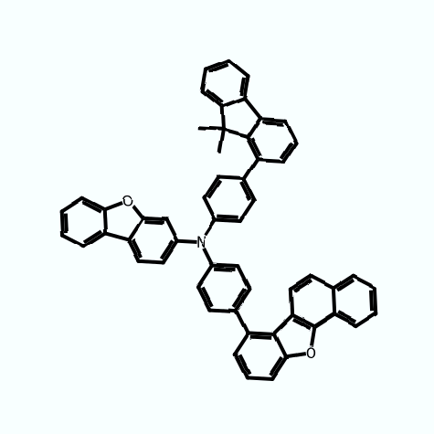 CC1(C)c2ccccc2-c2cccc(-c3ccc(N(c4ccc(-c5cccc6oc7c8ccccc8ccc7c56)cc4)c4ccc5c(c4)oc4ccccc45)cc3)c21